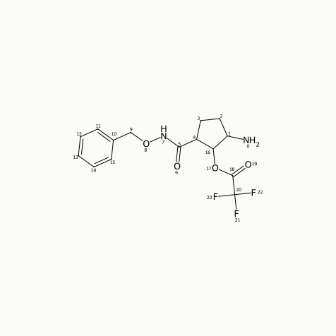 NC1CCC(C(=O)NOCc2ccccc2)C1OC(=O)C(F)(F)F